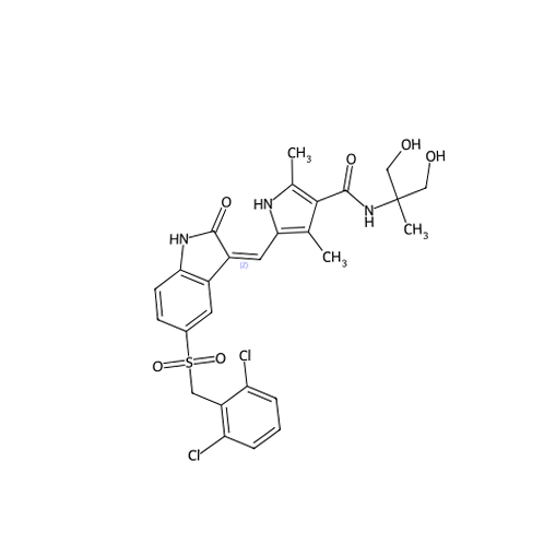 Cc1[nH]c(/C=C2\C(=O)Nc3ccc(S(=O)(=O)Cc4c(Cl)cccc4Cl)cc32)c(C)c1C(=O)NC(C)(CO)CO